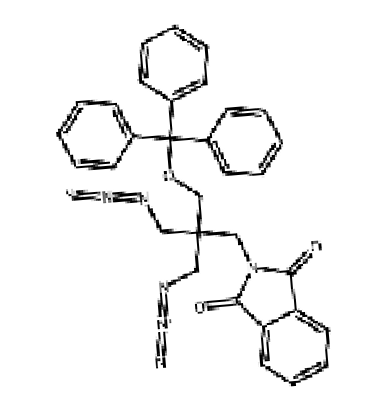 [N-]=[N+]=NCC(CN=[N+]=[N-])(COC(c1ccccc1)(c1ccccc1)c1ccccc1)CN1C(=O)c2ccccc2C1=O